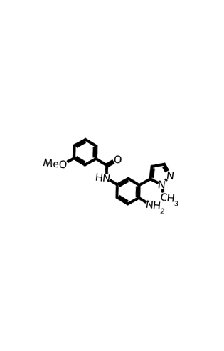 COc1cccc(C(=O)Nc2ccc(N)c(-c3ccnn3C)c2)c1